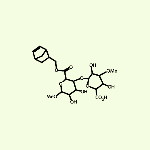 COC1OC(C(=O)OCC2CC3C=CC2C3)C(OC2OC(C(=O)O)C(O)C(OC)C2O)C(O)C1O